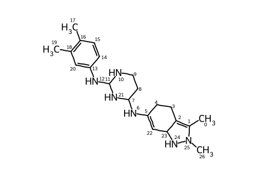 CC1=C2CCC(NC3CCNC(Nc4ccc(C)c(C)c4)N3)=CC2NN1C